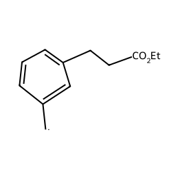 [CH2]c1cccc(CCC(=O)OCC)c1